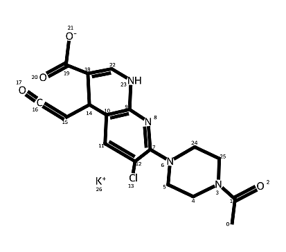 CC(=O)N1CCN(c2nc3c(cc2Cl)C(C=C=O)C(C(=O)[O-])=CN3)CC1.[K+]